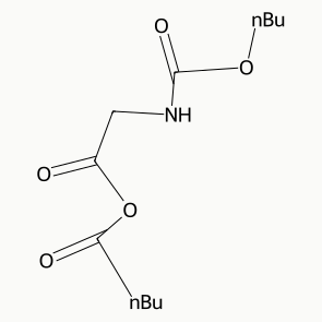 CCCCOC(=O)NCC(=O)OC(=O)CCCC